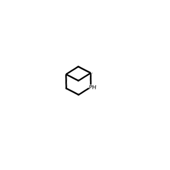 C1CC2C[C](C2)P1